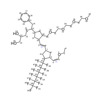 CCO/C=C\C1CC(/C=C/C2CC(C(Cc3ccccc3)SCC(O)CO)CC2COCCOCCOCCOC)CC1C(F)(F)C(F)(F)C(F)(F)C(F)(F)C(F)(F)C(F)(F)F